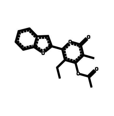 CCc1c(-c2cc3ccccc3o2)oc(=O)c(C)c1OC(C)=O